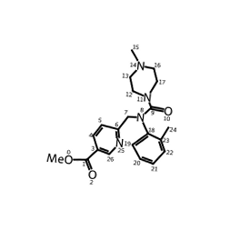 COC(=O)c1ccc(CN(C(=O)N2CCN(C)CC2)c2ccccc2C)nc1